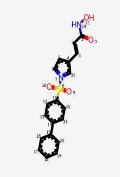 O=C(/C=C/c1ccn(S(=O)(=O)c2ccc(-c3ccccc3)cc2)c1)NO